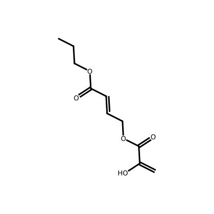 C=C(O)C(=O)OCC=CC(=O)OCCC